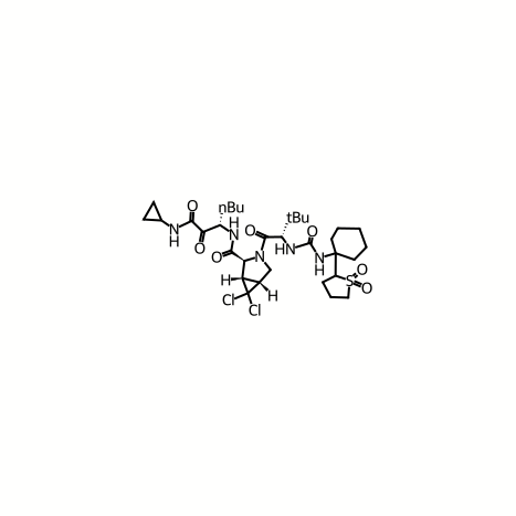 CCCC[C@H](NC(=O)[C@@H]1[C@@H]2[C@H](CN1C(=O)[C@@H](NC(=O)NC1(C3CCCS3(=O)=O)CCCCC1)C(C)(C)C)C2(Cl)Cl)C(=O)C(=O)NC1CC1